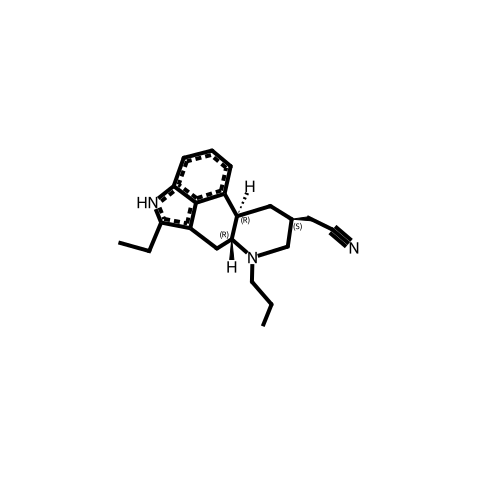 CCCN1C[C@H](CC#N)C[C@@H]2c3cccc4[nH]c(CC)c(c34)C[C@H]21